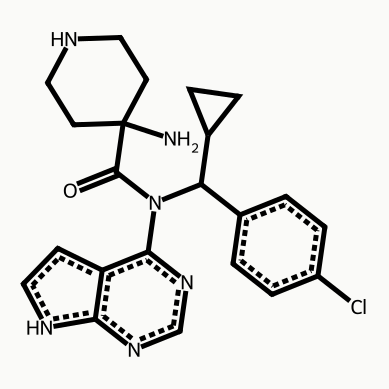 NC1(C(=O)N(c2ncnc3[nH]ccc23)C(c2ccc(Cl)cc2)C2CC2)CCNCC1